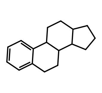 c1ccc2c(c1)CCC1C2CCC2CCCC21